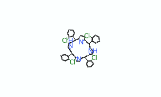 Clc1ccccc1-c1c2nc(c(-c3ccccc3Cl)c3ccc([nH]3)c(-c3ccccc3Cl)c3nc(c(-c4ccccc4Cl)c4ccc1[nH]4)C=C3)C=C2